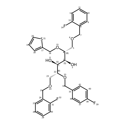 O[C@@H]([C@H](O)[C@@H](COCc1ccccc1F)OCc1cccs1)[C@@H](COCc1ccccc1F)OCc1ccc(F)cc1